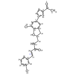 CC(=O)c1ccc(-c2cc(Cl)c3c(c2)CC(CNC(=O)/C=C/c2ccc[n+]([O-])c2)O3)s1